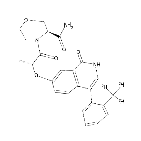 [2H]C([2H])([2H])c1ccccc1-c1c[nH]c(=O)c2cc(O[C@H](C)C(=O)N3CCOC[C@H]3C(N)=O)ccc12